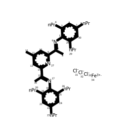 CCCc1cc(CCC)c(N=C(C)c2cc(C)cc(C(C)=Nc3c(CCC)cc(CCC)cc3CCC)n2)c(CCC)c1.[Cl-].[Cl-].[Cl-].[Fe+3]